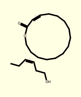 CC/C=C\CCO.O=C1/C=C\CCCCCCCCCCCCO1